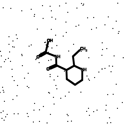 CCC1NCCCC1C(=O)NC(=O)O